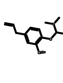 C=CCc1ccc(OC(C)N(C)C)c(OC)c1